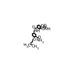 CC(C)CCCOc1ccc(CNC(=O)c2ccc(OP(=O)(O)O)cc2)cc1C(N)=O